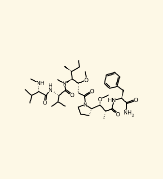 CC[C@H](C)[C@@H]([C@@H](CC(=O)N1CCC[C@H]1[C@H](OC)[C@@H](C)C(=O)N[C@@H](Cc1ccccc1)C(N)=O)OC)N(C)C(=O)[C@@H](NC(=O)[C@@H](NC)C(C)C)C(C)C